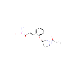 CC(C)C(=O)N1CCC[C@@H](Oc2ccccc2C=CC(=O)NO)C1